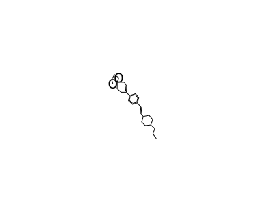 CCCC1CCC(/C=C/c2ccc(C3=CCC4(CC3)OCCO4)cc2)CC1